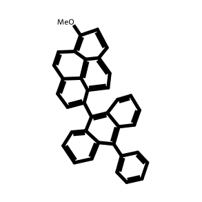 COc1ccc2ccc3c(-c4c5ccccc5c(-c5ccccc5)c5ccccc45)ccc4ccc1c2c43